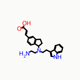 NCCN(CCc1c[nH]c2ccccc12)C1CCc2cc(C=CC(=O)O)ccc21